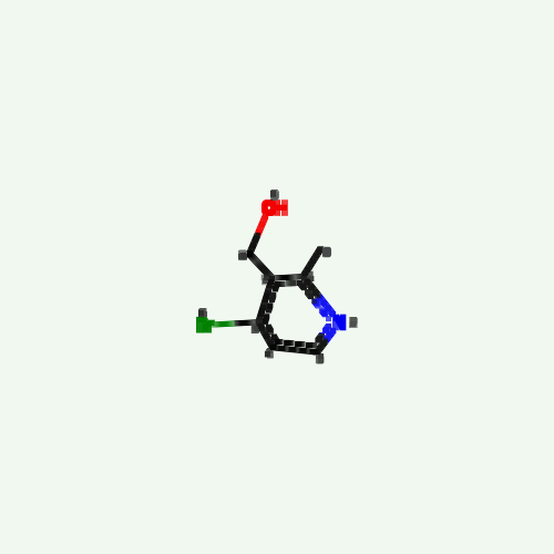 Cc1nccc(Br)c1CO